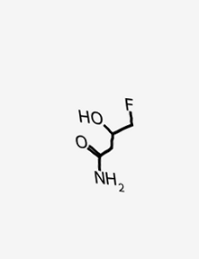 NC(=O)CC(O)CF